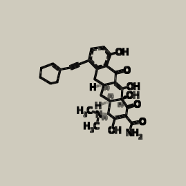 CN(C)[C@H]1C(O)=C(C(N)=O)C(=O)[C@@]2(O)C(O)=C3C(=O)c4c(O)ccc(C#CC5=CCCCC5)c4C[C@@H]3C[C@H]12